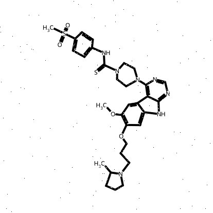 COc1cc2c(cc1OCCCN1CCCC1C)[nH]c1ncnc(N3CCN(C(=S)Nc4ccc(S(C)(=O)=O)cc4)CC3)c12